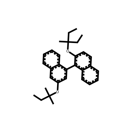 CCC(C)(C)Oc1cc(-c2c(OC(C)(CC)CC)ccc3ccccc23)c2ccccc2c1